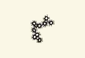 c1ccc(-n2c3ccccc3c3cc(-c4ccc5c(c4)c4ccccc4n5-c4cccc(-c5ccc6c7c(cccc57)-c5ccccc5-6)c4)ccc32)cc1